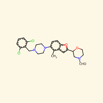 Cc1c(N2CCN(Cc3c(Cl)cccc3Cl)CC2)ccc2oc(C3CN(C=O)CCO3)cc12